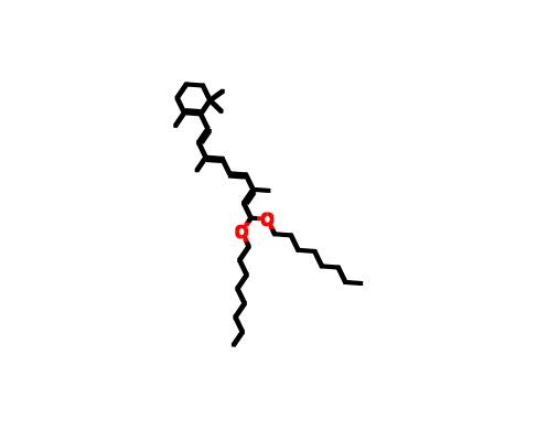 CCCCCCCCOC(C=C(C)C=CC=C(C)C=CC1=C(C)CCCC1(C)C)OCCCCCCCC